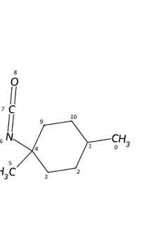 CC1CCC(C)(N=C=O)CC1